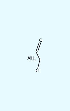 O=CCCl.[AlH3]